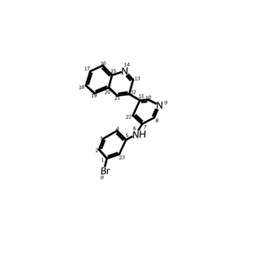 Brc1cccc(Nc2cncc(-c3cnc4ccccc4c3)c2)c1